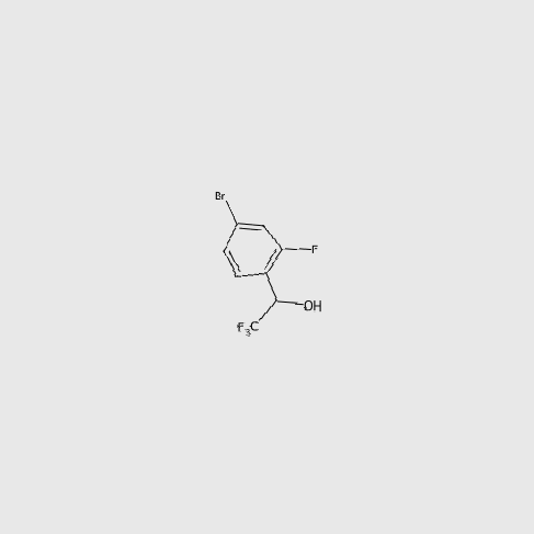 OC(c1ccc(Br)cc1F)C(F)(F)F